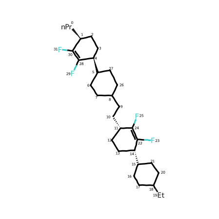 CCC[C@H]1CC[C@@H](C2CCC(CC[C@H]3CC[C@@H](C4CCC(CC)CC4)C(F)=C3F)CC2)C(F)=C1F